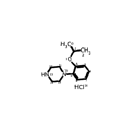 CC(C)Oc1ccccc1N1CCNCC1.Cl